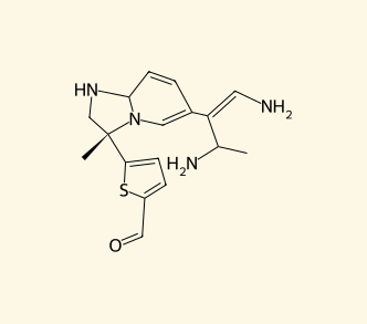 CC(N)/C(=C\N)C1=CN2C(C=C1)NC[C@@]2(C)c1ccc(C=O)s1